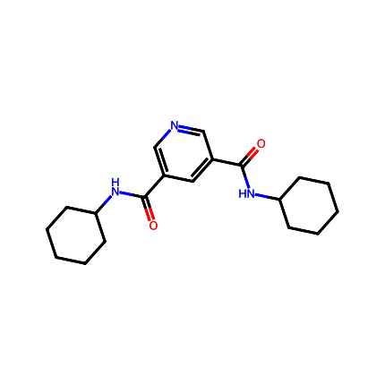 O=C(NC1CCCCC1)c1cncc(C(=O)NC2CCCCC2)c1